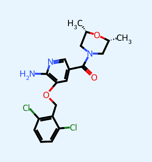 C[C@@H]1CN(C(=O)c2cnc(N)c(OCc3c(Cl)cccc3Cl)c2)C[C@H](C)O1